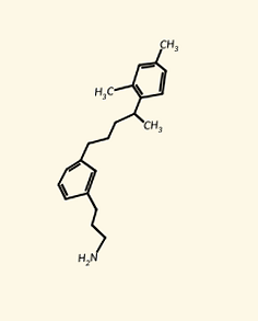 Cc1ccc(C(C)CCCc2cccc(CCCN)c2)c(C)c1